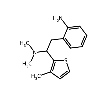 Cc1ccsc1C(Cc1ccccc1N)N(C)C